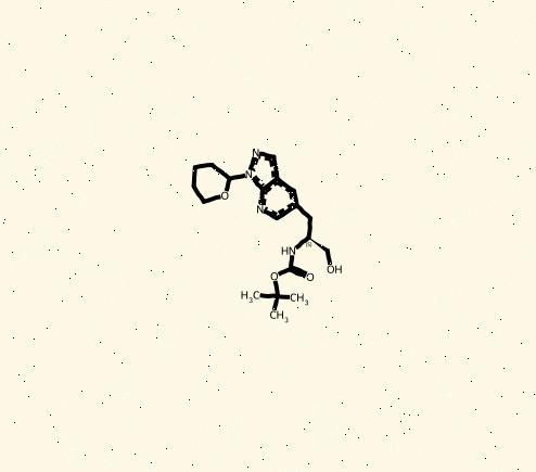 CC(C)(C)OC(=O)N[C@H](CO)Cc1cnc2c(cnn2C2CCCCO2)c1